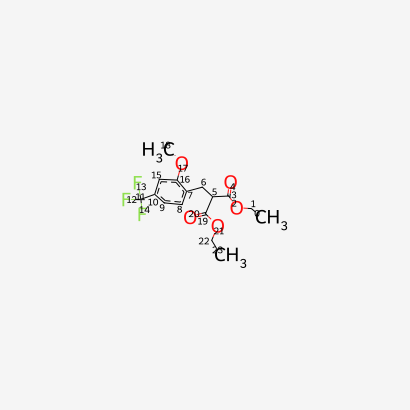 CCOC(=O)C(Cc1ccc(C(F)(F)F)cc1OC)C(=O)OCC